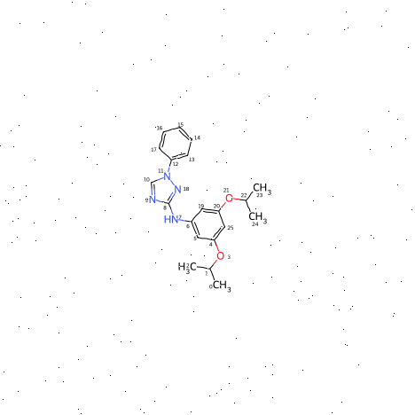 CC(C)Oc1cc(Nc2ncn(-c3ccccc3)n2)cc(OC(C)C)c1